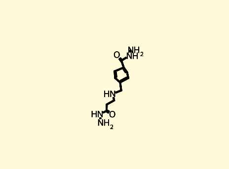 NNC(=O)CCNCc1ccc(C(=O)NN)cc1